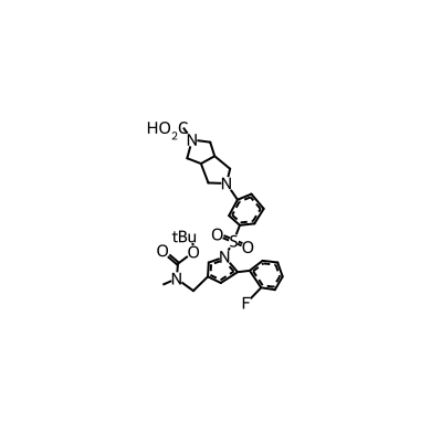 CN(Cc1cc(-c2ccccc2F)n(S(=O)(=O)c2cccc(N3CC4CN(C(=O)O)CC4C3)c2)c1)C(=O)OC(C)(C)C